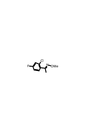 CON=C(C)c1ccc(F)cc1Cl